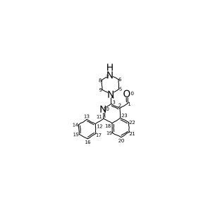 O=Cc1c(N2CCNCC2)nc(-c2ccccc2)c2ccccc12